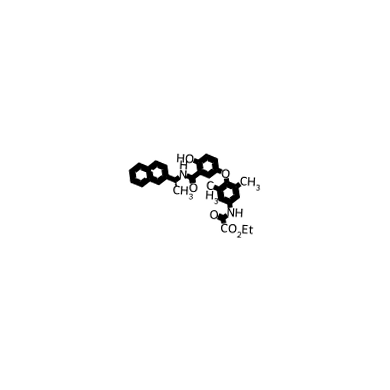 CCOC(=O)C(=O)Nc1cc(C)c(Oc2ccc(O)c(C(=O)N[C@H](C)c3ccc4ccccc4c3)c2)c(C)c1